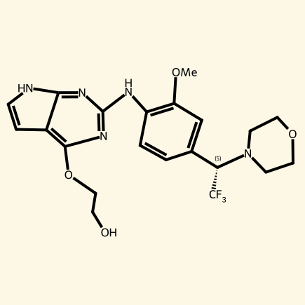 COc1cc([C@H](N2CCOCC2)C(F)(F)F)ccc1Nc1nc(OCCO)c2cc[nH]c2n1